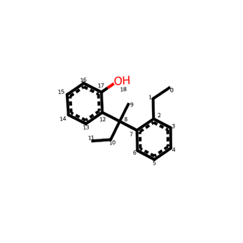 CCc1ccccc1C(C)(CC)c1ccccc1O